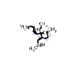 CC/C=C\C(=C/NC)C(C)(/C=C\C=C/N)NCC